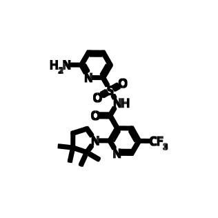 CC1(C)CCN(c2ncc(C(F)(F)F)cc2C(=O)NS(=O)(=O)c2cccc(N)n2)C1(C)C